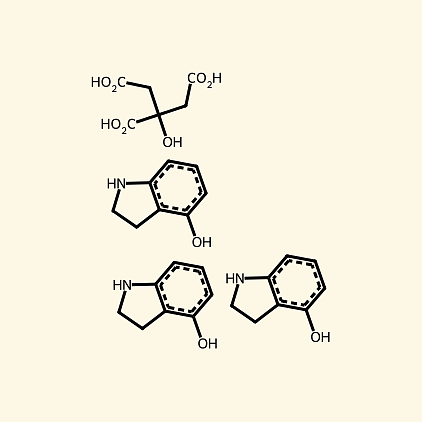 O=C(O)CC(O)(CC(=O)O)C(=O)O.Oc1cccc2c1CCN2.Oc1cccc2c1CCN2.Oc1cccc2c1CCN2